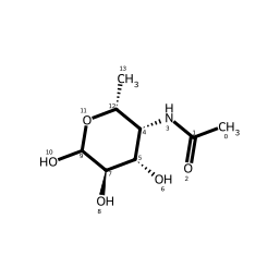 CC(=O)N[C@@H]1[C@H](O)[C@@H](O)C(O)O[C@@H]1C